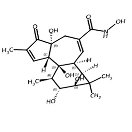 CC1=C[C@H]2[C@@]3(O)[C@H](C)[C@@H](O)[C@]4(O)[C@@H]([C@@H]3C=C(C(=O)NO)C[C@]2(O)C1=O)C4(C)C